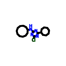 Clc1nc(NC2CCCCCCCCCC2)nc(C2CCCCCCC2)n1